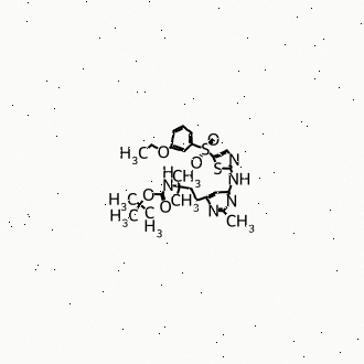 CCOc1cccc(S(=O)(=O)c2cnc(Nc3cc(CCC(C)(C)NC(=O)OC(C)(C)C)nc(C)n3)s2)c1